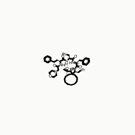 CC(C)C[C@H](NC(=O)[C@H](CCc1ccccc1)NC(=O)CN1CCOCC1)C(=O)N[C@@H](Cc1ccccc1)C(=O)N[C@@H](CC(C)C)C1(C(O)[C@@]2(C)CO2)CCCCCCCCCC1